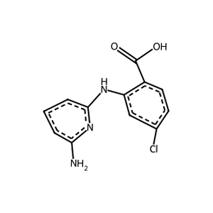 Nc1cccc(Nc2cc(Cl)ccc2C(=O)O)n1